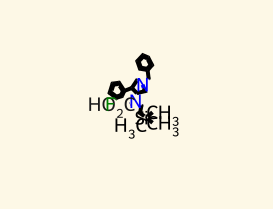 C[Si](C)(C)CCN(C(=O)O)C1CN(Cc2ccccc2)CC1c1cccc(F)c1